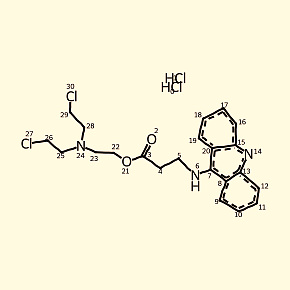 Cl.Cl.O=C(CCNc1c2ccccc2nc2ccccc12)OCCN(CCCl)CCCl